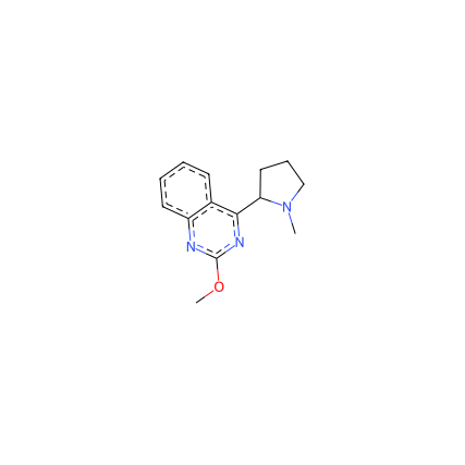 COc1nc(C2CCCN2C)c2ccccc2n1